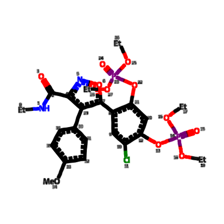 CCNC(=O)c1noc(-c2cc(Cl)c(OP(=O)(OCC)OCC)cc2OP(=O)(OCC)OCC)c1-c1ccc(OC)cc1